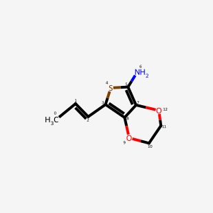 C/C=C/c1sc(N)c2c1OCCO2